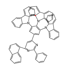 c1ccc(-c2nc(-c3cc(-n4c5ccccc5c5ccccc54)c(-n4c5ccccc5c5ccccc54)c(-n4c5ccccc5c5ccccc54)c3)cc(-c3cccc4ccccc34)n2)cc1